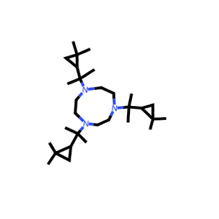 CC1(C)CC1C(C)(C)N1CCN(C(C)(C)C2CC2(C)C)CCN(C(C)(C)C2CC2(C)C)CC1